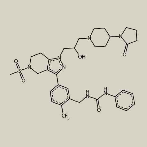 CS(=O)(=O)N1CCc2c(c(-c3ccc(C(F)(F)F)c(CNC(=O)Nc4ccccc4)c3)nn2CC(O)CN2CCC(N3CCCC3=O)CC2)C1